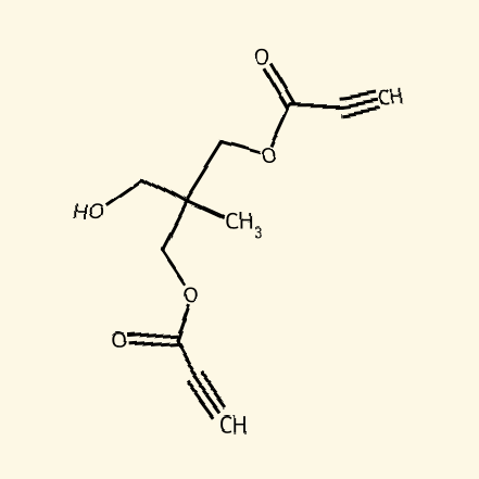 C#CC(=O)OCC(C)(CO)COC(=O)C#C